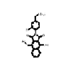 CCOC(=O)Cc1ccc(N2C(=O)c3c(c(OC(C)C)c4ccccc4c3O)C2=O)c(Cl)c1